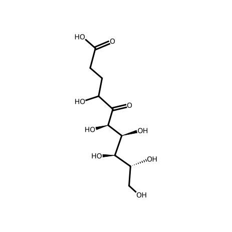 O=C(O)CCC(O)C(=O)[C@H](O)[C@@H](O)[C@H](O)[C@H](O)CO